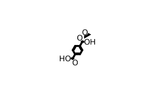 C1CO1.O=C(O)c1ccc(C(=O)O)cc1